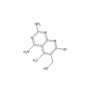 CCc1nc2nc(N)nc(N)c2c(C)c1CO